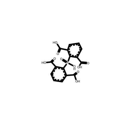 O=C(O)c1cccc(C(=O)O)c1P(=O)(O)c1c(C(=O)O)cccc1C(=O)O